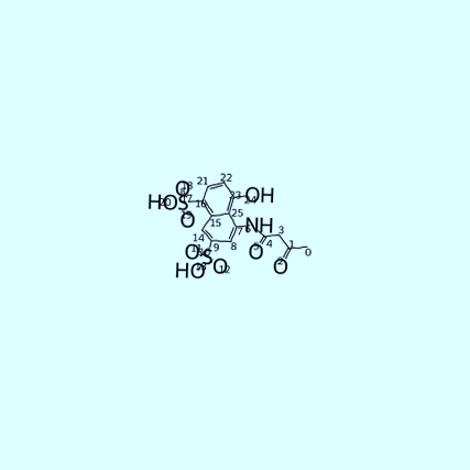 CC(=O)CC(=O)Nc1cc(S(=O)(=O)O)cc2c(S(=O)(=O)O)ccc(O)c12